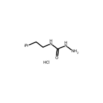 CC(C)CCNC(=O)NN.Cl